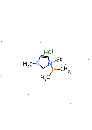 CC[N+]1(P(C)C)C=CN(C)C1.Cl